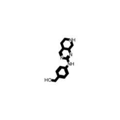 OCc1ccc(NC2=NC3CNCCC3C=N2)cc1